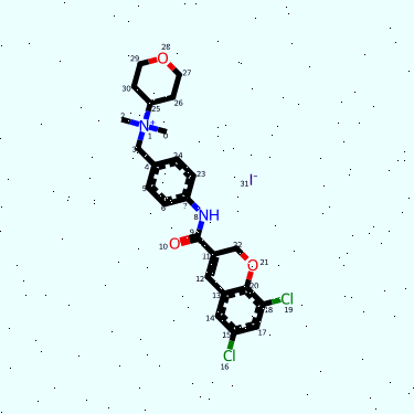 C[N+](C)(Cc1ccc(NC(=O)C2=Cc3cc(Cl)cc(Cl)c3OC2)cc1)C1CCOCC1.[I-]